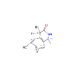 CCC1(CC)C(=O)NC(C)(C)C2=C1\C=C(C#N)/C=C/C=C/2